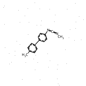 CN=C=Nc1ccc(-c2ccc(C)cc2)cc1